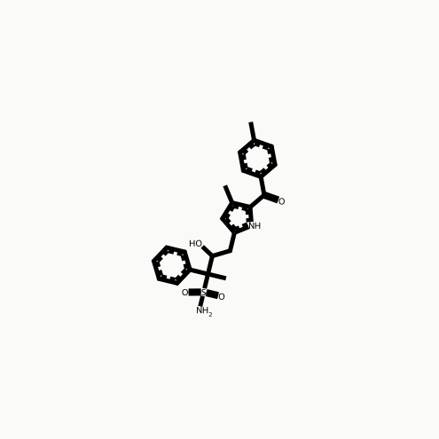 Cc1ccc(C(=O)c2[nH]c(CC(O)C(C)(c3ccccc3)S(N)(=O)=O)cc2C)cc1